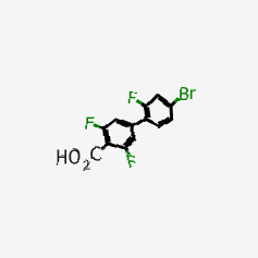 O=C(O)c1c(F)cc(-c2ccc(Br)cc2F)cc1F